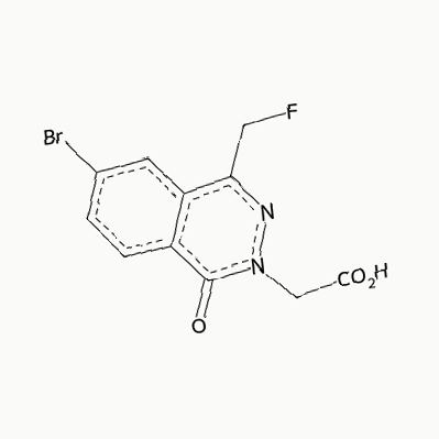 O=C(O)Cn1nc(CF)c2cc(Br)ccc2c1=O